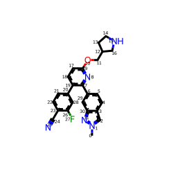 Cn1cc2ccc(-c3nc(OCC4CCNC4)ccc3-c3ccc(C#N)c(F)c3)cc2n1